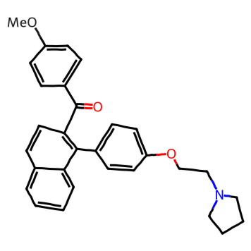 COc1ccc(C(=O)c2ccc3ccccc3c2-c2ccc(OCCN3CCCC3)cc2)cc1